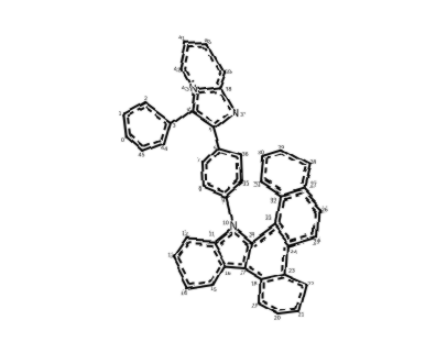 c1ccc(-c2c(-c3ccc(-n4c5ccccc5c5c6ccccc6c6ccc7ccccc7c6c54)cc3)nc3ccccn23)cc1